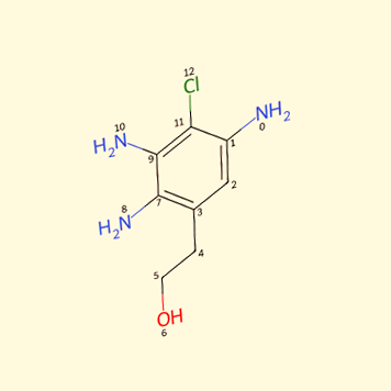 Nc1cc(CCO)c(N)c(N)c1Cl